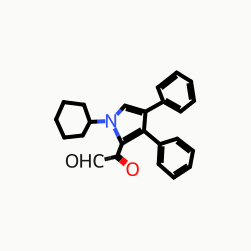 O=CC(=O)c1c(-c2ccccc2)c(-c2ccccc2)cn1C1CCCCC1